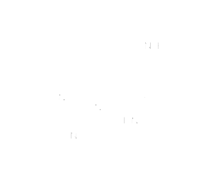 C1=CN/C(=C(\c2ccnc(NC3CC3)n2)C2CN2)C=C1